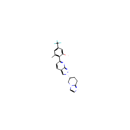 Cc1cc(C(F)(F)F)cc(O)c1-c1ccc2cn([C@H]3CCc4nccn4C3)nc2n1